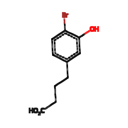 O=C(O)CCCc1ccc(Br)c(O)c1